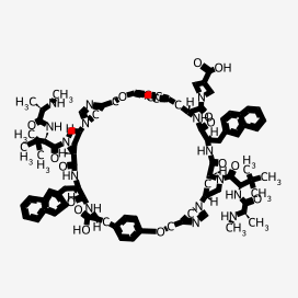 CN[C@@H](C)C(=O)N[C@H](C(=O)N1C[C@@H]2C[C@H]1C(=O)N[C@@H](Cc1ccc3ccccc3c1)C(=O)N[C@H](C(=O)O)Cc1ccc(cc1)OCc1cn(cn1)[C@H]1C[C@@H](C(=O)N[C@@H](Cc3ccc4ccccc4c3)C(=O)N[C@H](C(=O)N3CC(C(=O)O)C3)Cc3ccc(cc3)OCc3cn2cn3)N(C(=O)[C@@H](NC(=O)[C@H](C)NC)C(C)(C)C)C1)C(C)(C)C